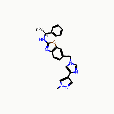 CCC[C@H](Nc1nc2ccc(Cn3cnc(-c4cnn(C)c4)c3)cc2s1)c1ccccc1